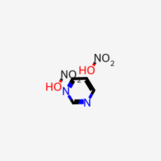 O=[N+]([O-])O.O=[N+]([O-])O.c1cncnc1